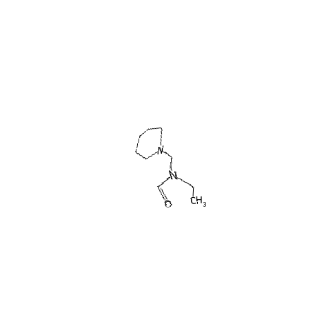 CCN(C=O)CN1CCCCC1